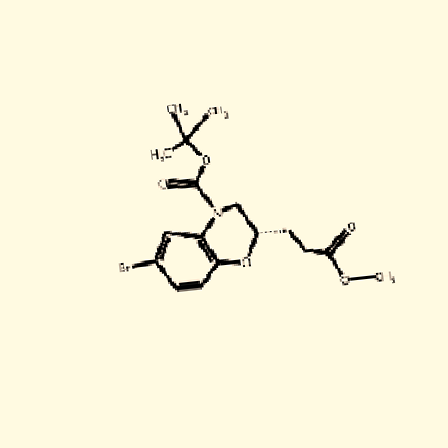 COC(=O)CC[C@H]1CN(C(=O)OC(C)(C)C)c2cc(Br)ccc2O1